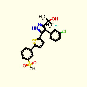 CC(C)(O)c1n[nH]c(-c2ccc(-c3cccc(S(C)(=O)=O)c3)s2)c1-c1cccc(Cl)c1F